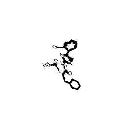 O=C(O)C[C@@H](CC1CCCCC1)C(=O)Nc1nc(-c2ccccc2Cl)cs1